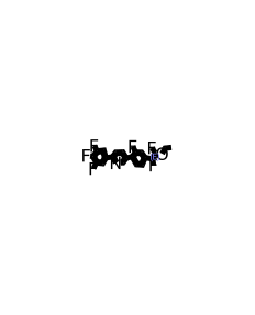 CCO/C(F)=C(\F)c1ccc(-c2ccc(-c3cc(F)c(F)c(F)c3)nc2)c(F)c1